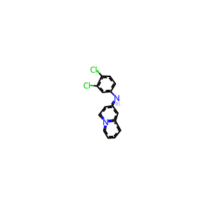 Clc1ccc(/N=c2\ccn3ccccc3c2)cc1Cl